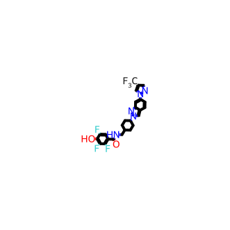 O=C(NCC1CCC(n2cc3ccc(-n4cc(C(F)(F)F)cn4)cc3n2)CC1)c1cc(F)c(O)c(F)c1F